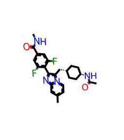 CNC(=O)c1cc(F)c(-c2nc3cc(C)ccn3c2C[C@H]2CC[C@@H](NC(C)=O)CC2)c(F)c1